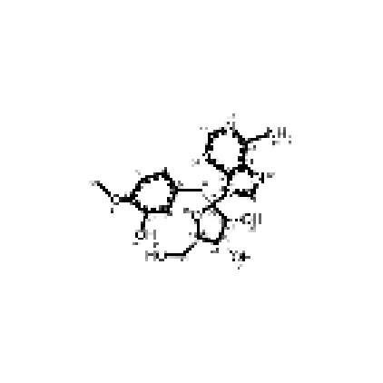 COc1ccc(C[C@@]2(n3cnc4c(N)ncnc43)O[C@H](CO)[C@@H](O)[C@H]2O)cc1O